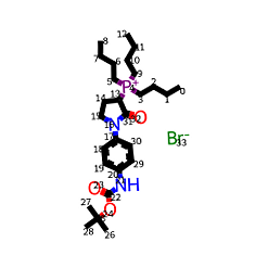 CCCC[P+](CCCC)(CCCC)C1CCN(c2ccc(NC(=O)OC(C)(C)C)cc2)C1=O.[Br-]